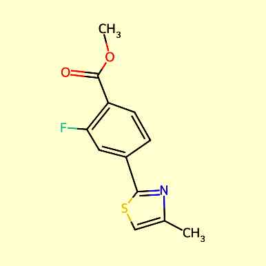 COC(=O)c1ccc(-c2nc(C)cs2)cc1F